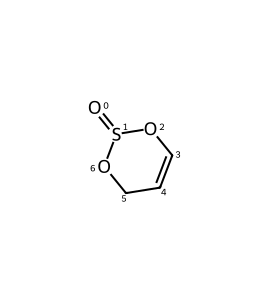 O=S1OC=CCO1